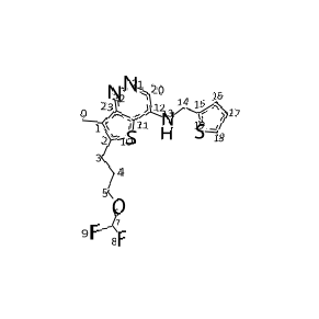 Cc1c(CCCOC(F)F)sc2c(NCc3cccs3)cnnc12